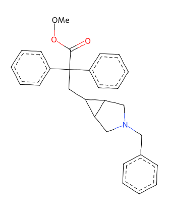 COOC(=O)C(CC1C2CN(Cc3ccccc3)CC21)(c1ccccc1)c1ccccc1